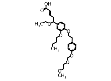 CCCCOc1cc(C(CC=CC(=O)O)OCC)ccc1OCCc1ccc(OCOCCOC)cc1